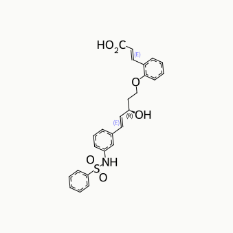 O=C(O)/C=C/c1ccccc1OCC[C@@H](O)/C=C/c1cccc(NS(=O)(=O)c2ccccc2)c1